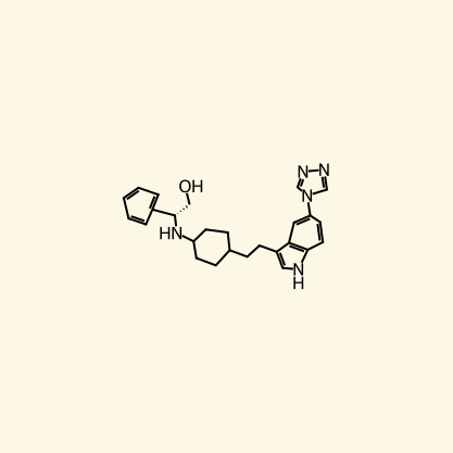 OC[C@H](NC1CCC(CCc2c[nH]c3ccc(-n4cnnc4)cc23)CC1)c1ccccc1